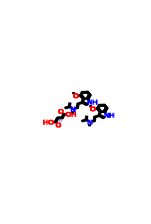 COc1cccc2[nH]cc(CCN(C)C(C)C)c12.COc1cccc2[nH]cc(CCN(C)C(C)C)c12.O=C(O)/C=C/C(=O)O